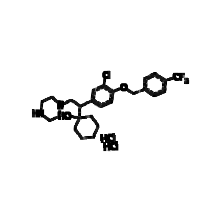 Cl.Cl.OC1(C(CN2CCNCC2)c2ccc(OCc3ccc(C(F)(F)F)cc3)c(Cl)c2)CCCCC1